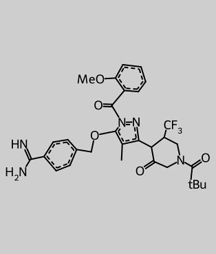 COc1ccccc1C(=O)n1nc(C2C(=O)CN(C(=O)C(C)(C)C)CC2C(F)(F)F)c(C)c1OCc1ccc(C(=N)N)cc1